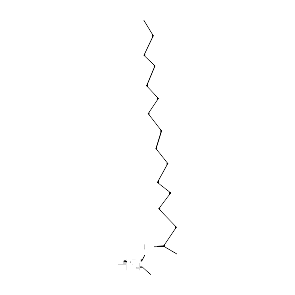 CCCCCCCCCCCCCCC(C)O[SiH](C)C